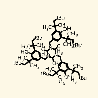 CC1N(Cc2cc(C(C)(C)CC(C)(C)C)c(O)c(C(C)(C)CC(C)(C)C)c2)C(C)N(Cc2cc(C(C)(C)CC(C)(C)C)c(O)c(C(C)(C)CC(C)(C)C)c2)C(C)N1Cc1cc(C(C)(C)CC(C)(C)C)c(O)c(C(C)(C)CC(C)(C)C)c1